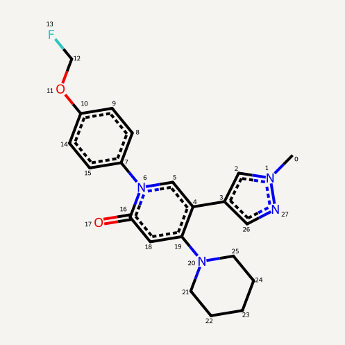 Cn1cc(-c2cn(-c3ccc(OCF)cc3)c(=O)cc2N2CCCCC2)cn1